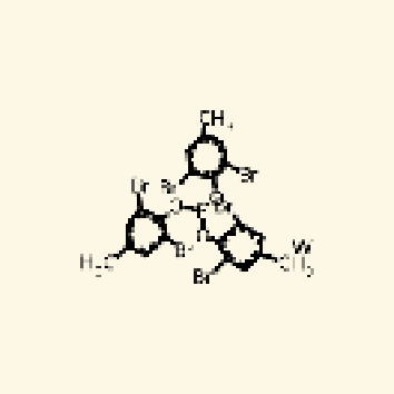 Cc1cc(Br)c(OP(Oc2c(Br)cc(C)cc2Br)Oc2c(Br)cc(C)cc2Br)c(Br)c1.[W]